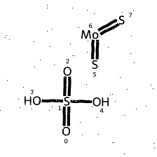 O=S(=O)(O)O.[S]=[Mo]=[S]